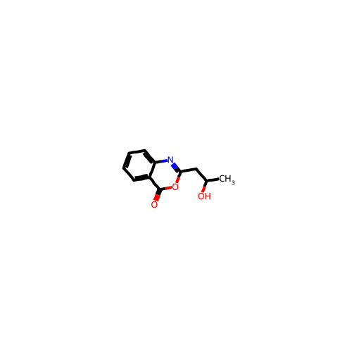 CC(O)Cc1nc2ccccc2c(=O)o1